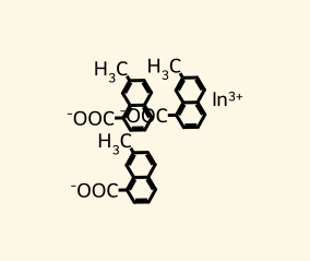 Cc1ccc2cccc(C(=O)[O-])c2c1.Cc1ccc2cccc(C(=O)[O-])c2c1.Cc1ccc2cccc(C(=O)[O-])c2c1.[In+3]